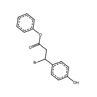 O=C(CC(Br)c1ccc(O)cc1)Oc1ccccc1